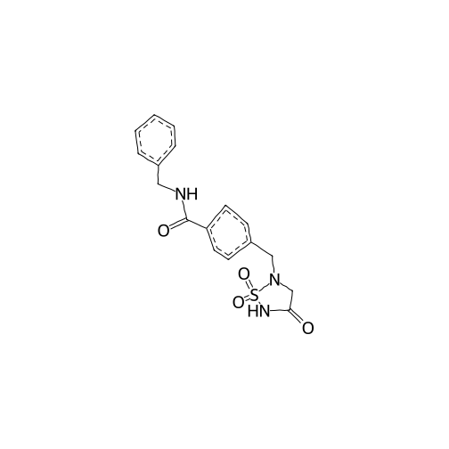 O=C1CN(Cc2ccc(C(=O)NCc3ccccc3)cc2)S(=O)(=O)N1